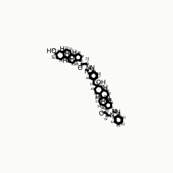 C[C@H](C(=O)[C@H]1CC[C@H]2[C@@H]3CC[C@H]4C[C@@](O)(Cc5ccc6nn([C@@H](C)C(=O)[C@H]7CC[C@H]8[C@@H]9CC[C@H]%10C[C@](C)(O)CC[C@@H]%10[C@H]9CC[C@]78C)nc6c5)CC[C@@H]4[C@H]3CC[C@]12C)n1nnc2ccccc21